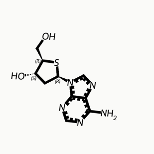 Nc1ncnc2c1ncn2[C@H]1C[C@H](O)[C@@H](CO)S1